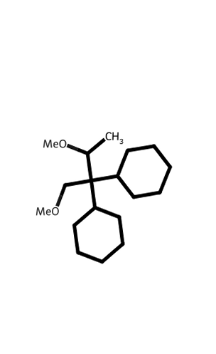 COCC(C1CCCCC1)(C1CCCCC1)C(C)OC